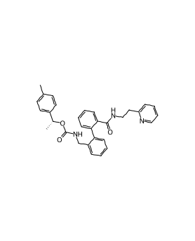 Cc1ccc([C@@H](C)OC(=O)NCc2ccccc2-c2ccccc2C(=O)NCCc2ccccn2)cc1